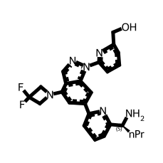 CCC[C@H](N)c1cccc(-c2cc(N3CC(F)(F)C3)c3cnn(-c4cccc(CO)n4)c3c2)n1